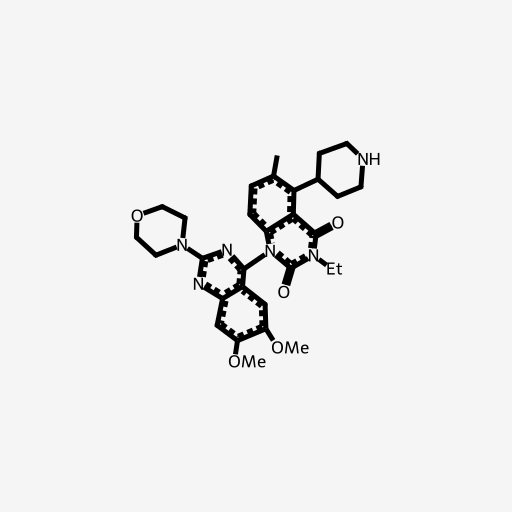 CCn1c(=O)c2c(C3CCNCC3)c(C)ccc2n(-c2nc(N3CCOCC3)nc3cc(OC)c(OC)cc23)c1=O